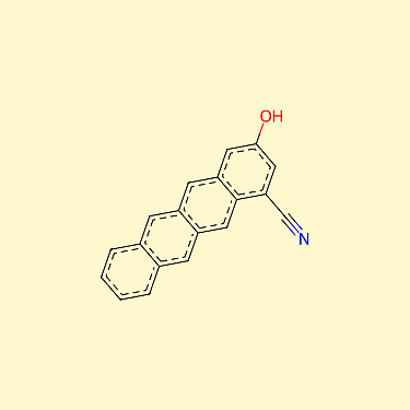 N#Cc1cc(O)cc2cc3cc4ccccc4cc3cc12